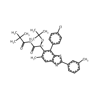 Cc1cccc(-c2nc3cc(C)c([C@H](OC(C)(C)C)C(=O)OC(=O)C(C)(C)C)c(-c4ccc(Cl)cc4)c3s2)c1